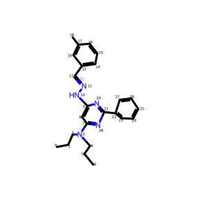 CCCN(CCC)c1cc(N/N=C/c2cccc(C)c2)nc(-c2ccccc2)n1